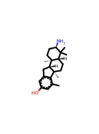 Cc1cc(O)cc2c1[C@]1(C)CC[C@H]3C(C)(C)[C@H](N)CC[C@]3(C)[C@H]1C2